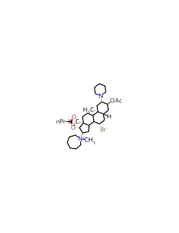 CCCC(=O)O[C@H]1[C@@H]([N+]2(C)CCCCCC2)CC2C3CC[C@H]4C[C@H](OC(C)=O)[C@@H](N5CCCCC5)C[C@]4(C)C3CC[C@@]21C.[Br-]